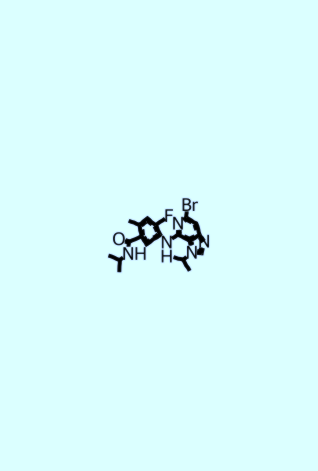 Cc1cc(F)c(Nc2nc(Br)cc3ncn(C(C)C)c23)cc1C(=O)NC(C)C